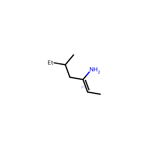 C/C=C(\N)CC(C)CC